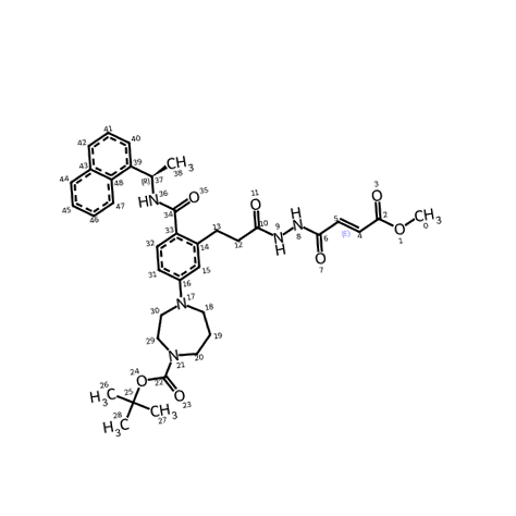 COC(=O)/C=C/C(=O)NNC(=O)CCc1cc(N2CCCN(C(=O)OC(C)(C)C)CC2)ccc1C(=O)N[C@H](C)c1cccc2ccccc12